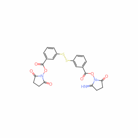 N=C1CCC(=O)N1OC(=O)c1cccc(SSc2cccc(C(=O)ON3C(=O)CCC3=O)c2)c1